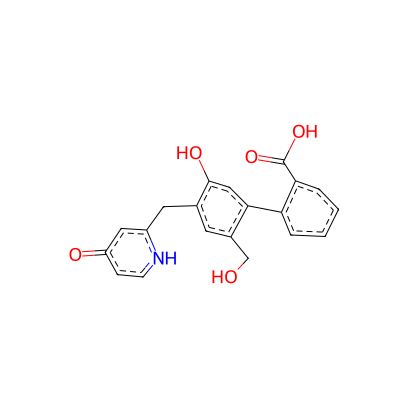 O=C(O)c1ccccc1-c1cc(O)c(Cc2cc(=O)cc[nH]2)cc1CO